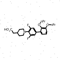 CCCOc1cccc(-c2cc(F)c(N3CCC(CC(=O)O)CC3)c(F)c2)c1OCCC